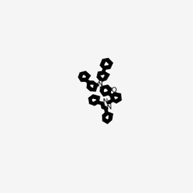 C1=CC(c2cc(-c3ccccc3)nc(-c3cccc4oc5cc(N(c6ccc(-c7ccccc7)cc6)c6cccc(-c7ccccc7)c6)ccc5c34)n2)=CCC1